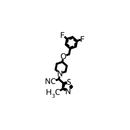 Cc1ncsc1C(C#N)N1CCC(OCc2cc(F)cc(F)c2)CC1